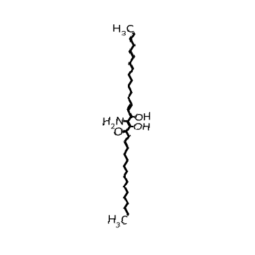 CCCCCCCCCCCCC/C=C/C(O)C(N)C(O)C(=O)CCCCCCCCCCCCCCCC